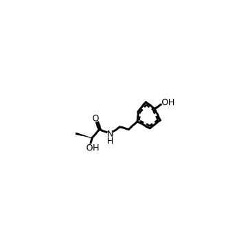 C[C@H](O)C(=O)NCCc1ccc(O)cc1